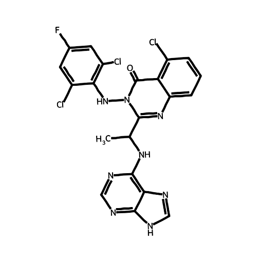 CC(Nc1ncnc2[nH]cnc12)c1nc2cccc(Cl)c2c(=O)n1Nc1c(Cl)cc(F)cc1Cl